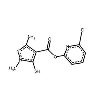 Cc1nn(C)c(S)c1C(=O)Oc1cccc(Cl)n1